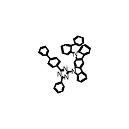 c1ccc(-c2ccc(-c3nc(-c4ccccc4)nc(-n4c5ccccc5c5cc6c7ccccc7n(-c7ccccc7-c7ccccc7)c6cc54)n3)cc2)cc1